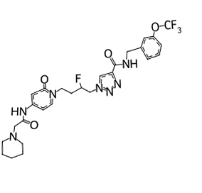 O=C(CN1CCCCC1)Nc1ccn(CCC(F)Cn2cc(C(=O)NCc3cccc(OC(F)(F)F)c3)nn2)c(=O)c1